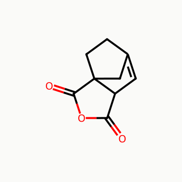 O=C1OC(=O)C23CCC(=CC12)C3